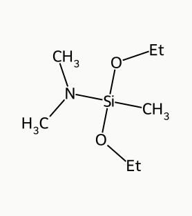 CCO[Si](C)(OCC)N(C)C